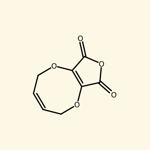 O=C1OC(=O)C2=C1OC/C=C\CO2